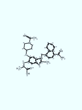 CC(=N)N1CCC(Oc2cc3c(cc2OC(C)C(=O)O)nc(C)n3Cc2ccc(C(=N)N)c3ccccc23)CC1